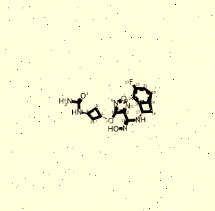 NC(=O)N[C@H]1C[C@H](Oc2nonc2/C(=N\O)N[C@H]2Cc3ccc(F)cc32)C1